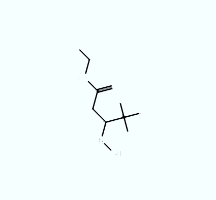 BNC(CC(=O)OCC)C(F)(F)F